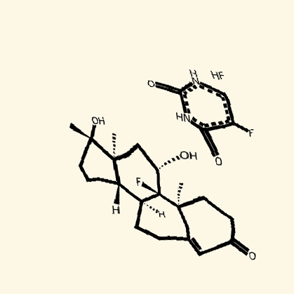 C[C@]1(O)CC[C@H]2[C@@H]3CCC4=CC(=O)CC[C@]4(C)[C@@]3(F)[C@@H](O)C[C@@]21C.F.O=c1[nH]cc(F)c(=O)[nH]1